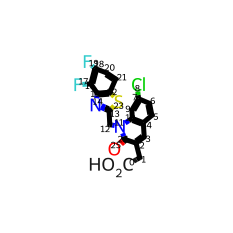 O=C(O)Cc1cc2ccc(Cl)cc2n(Cc2nc3c(F)c(F)ccc3s2)c1=O